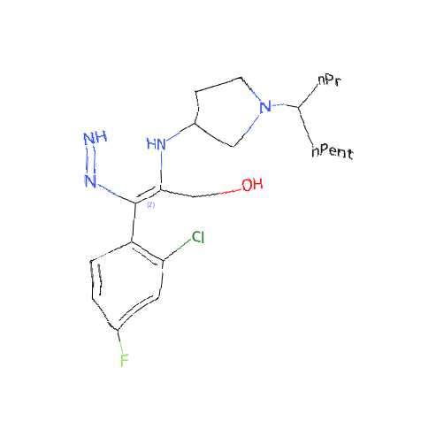 CCCCCC(CCC)N1CCC(N/C(CO)=C(\N=N)c2ccc(F)cc2Cl)C1